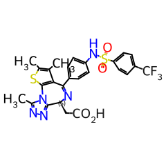 Cc1sc2c(c1C)C(c1ccc(NS(=O)(=O)c3ccc(C(F)(F)F)cc3)cc1)=N[C@@H](CC(=O)O)c1nnc(C)n1-2